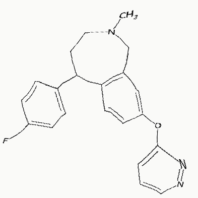 CN1CCC(c2ccc(F)cc2)c2ccc(Oc3cccnn3)cc2C1